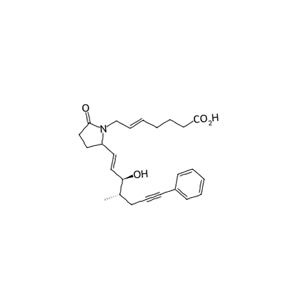 C[C@@H](CC#Cc1ccccc1)[C@H](O)C=CC1CCC(=O)N1CC=CCCCC(=O)O